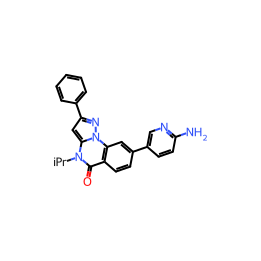 CC(C)n1c(=O)c2ccc(-c3ccc(N)nc3)cc2n2nc(-c3ccccc3)cc12